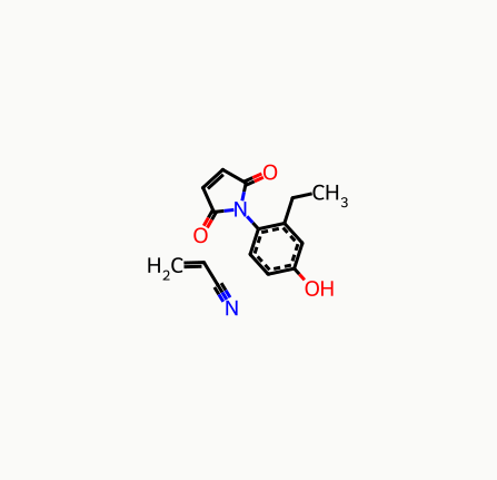 C=CC#N.CCc1cc(O)ccc1N1C(=O)C=CC1=O